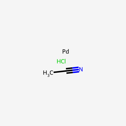 CC#N.Cl.[Pd]